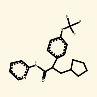 O=C(Nc1ccccn1)C(CC1CCCC1)c1ccc(SC(F)(F)F)cc1